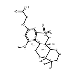 COc1cc(OCC(=O)O)cc2c1[C@]1(C)CC[C@H]3C(C)(C)CCC[C@]3(C)[C@H]1CS2(=O)=O